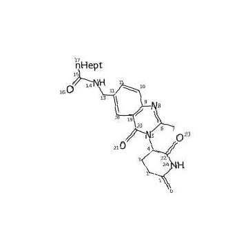 C=C1CCC(n2c(C)nc3ccc(CNC(=O)CCCCCCC)cc3c2=O)C(=O)N1